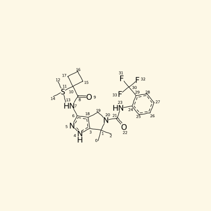 CC1(C)c2[nH]nc(NC(=O)C3(S(C)(C)C)CCC3)c2CN1C(=O)Nc1ccccc1C(F)(F)F